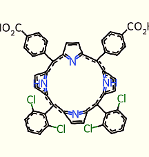 O=C(O)c1ccc(-c2c3nc(c(-c4ccc(C(=O)O)cc4)c4ccc([nH]4)c(-c4c(Cl)cccc4Cl)c4nc(c(-c5c(Cl)cccc5Cl)c5ccc2[nH]5)C=C4)C=C3)cc1